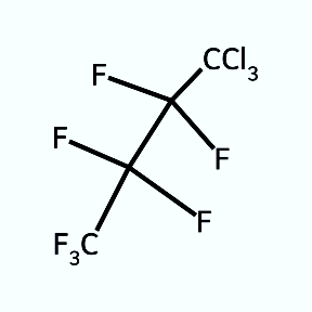 FC(F)(F)C(F)(F)C(F)(F)C(Cl)(Cl)Cl